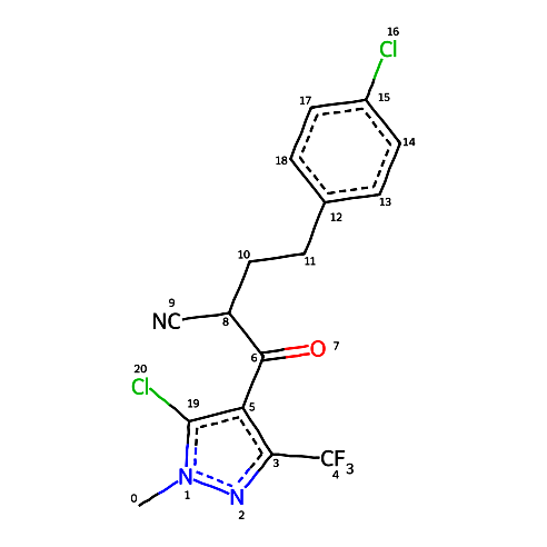 Cn1nc(C(F)(F)F)c(C(=O)C(C#N)CCc2ccc(Cl)cc2)c1Cl